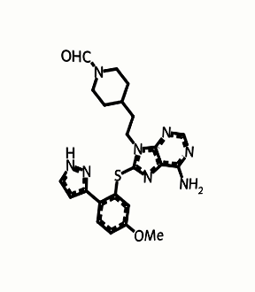 COc1ccc(-c2cc[nH]n2)c(Sc2nc3c(N)ncnc3n2CCC2CCN(C=O)CC2)c1